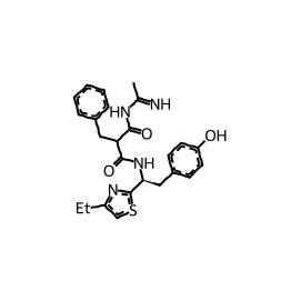 CCc1csc([C@H](Cc2ccc(O)cc2)NC(=O)C(Cc2ccccc2)C(=O)NC(C)=N)n1